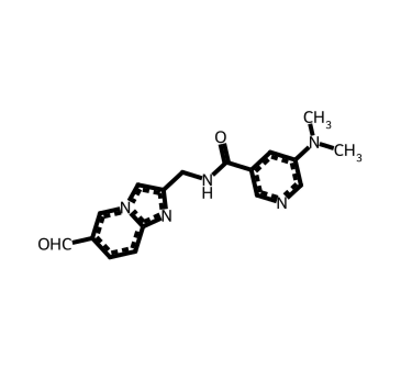 CN(C)c1cncc(C(=O)NCc2cn3cc(C=O)ccc3n2)c1